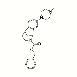 CN1CCN(c2ccc3c(c2)C2CC3CCN2C(=O)OCc2ccccc2)CC1